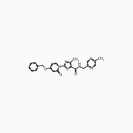 Cc1cnc(CNC(=O)c2sc(-n3ccc(OCc4ccccc4)cc3=O)nc2C)cn1